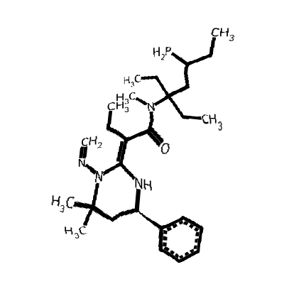 C=NN1/C(=C(\CC)C(=O)N(C)C(CC)(CC)CC(P)CC)N[C@@H](c2ccccc2)CC1(C)C